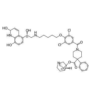 O=C(c1cc(Cl)c(OCCCCCNC[C@H](O)c2ccc(O)c3c2C=CC(O)N3)c(Cl)c1)N1CCC(C(=O)O[C@H]2CN3CCC2CC3)(c2ccccc2)CC1